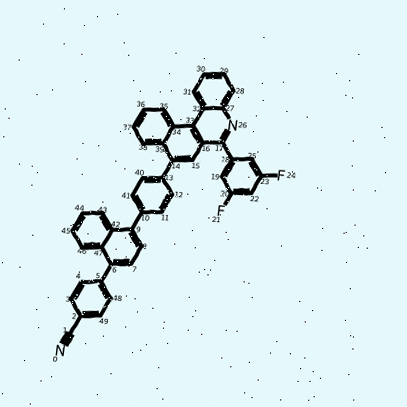 N#Cc1ccc(-c2ccc(-c3ccc(-c4cc5c(-c6cc(F)cc(F)c6)nc6ccccc6c5c5ccccc45)cc3)c3ccccc23)cc1